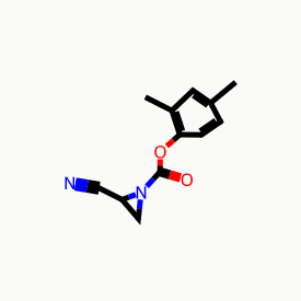 Cc1ccc(OC(=O)N2CC2C#N)c(C)c1